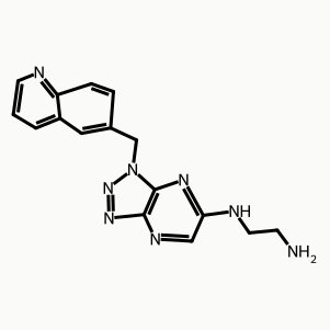 NCCNc1cnc2nnn(Cc3ccc4ncccc4c3)c2n1